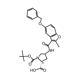 Cc1oc2ccc(OCc3ccccc3)cc2c1C(=O)NC1C[C@H](C(=O)O)N(C(=O)OC(C)(C)C)C1